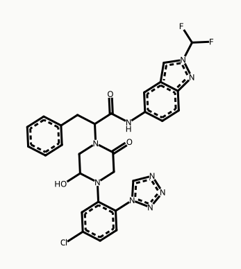 O=C(Nc1ccc2nn(C(F)F)cc2c1)C(Cc1ccccc1)N1CC(O)N(c2cc(Cl)ccc2-n2cnnn2)CC1=O